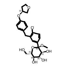 CO[C@]1(c2ccc(Cl)c(Cc3ccc(O[C@H]4CCOC4)cc3)c2)O[C@@H](CO)[C@H](O)[C@@H](O)[C@@H]1O